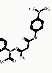 CC(=O)N(N=C(C)CC(=O)Nc1ccc(N(C)C)cc1)c1ccccc1